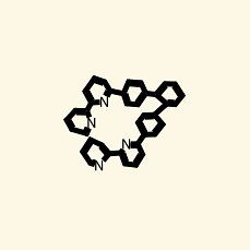 c1ccc(-c2cccc(-c3ccc(-c4ccccc4-c4ccc(-c5cccc(-c6ccccn6)n5)cc4)cc3)n2)nc1